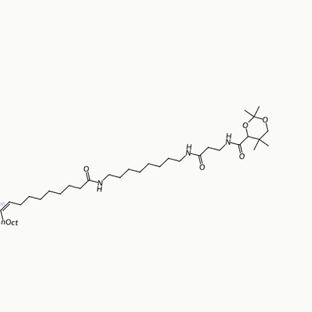 CCCCCCCC/C=C\CCCCCCCC(=O)NCCCCCCCCNC(=O)CCNC(=O)C1OC(C)(C)OCC1(C)C